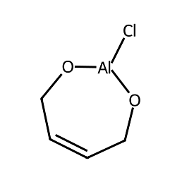 [Cl][Al]1[O]CC=CC[O]1